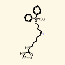 CCCCCNC(=O)NCCCC/C=C\CCO[Si](c1ccccc1)(c1ccccc1)C(C)(C)C